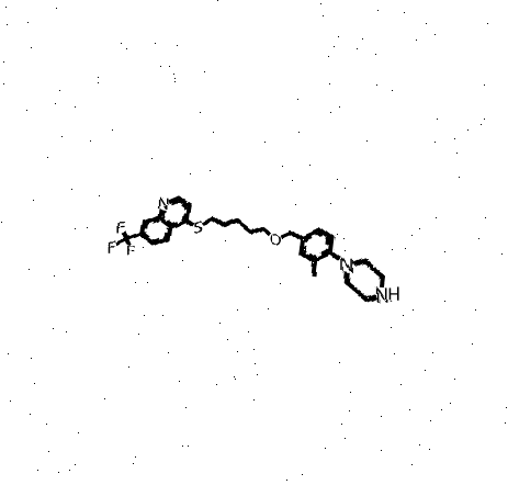 Cc1cc(COCCCCCSc2ccnc3cc(C(F)(F)F)ccc23)ccc1N1CCNCC1